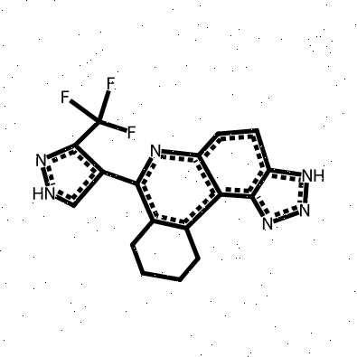 FC(F)(F)c1n[nH]cc1-c1nc2ccc3[nH]nnc3c2c2c1CCCC2